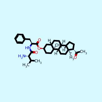 CC(=O)[C@H]1CC[C@H]2[C@@H]3CC[C@H]4C[C@H](OC(=O)[C@H](Cc5ccccc5)NC(=O)[C@@H](N)C(C)C)CC[C@]4(C)[C@H]3CC[C@]12C